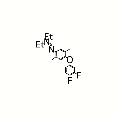 CCN(/C=N/c1cc(C)c(Oc2ccc(F)c(F)c2)cc1C)CC